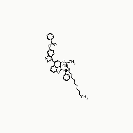 CCCCCCCCCCCCC(C)OC1C=C(n2nnc3cc(OC(=O)c4ccccc4)ccc32)c2ccccc2C1(O)C(=O)Nc1ccccc1